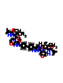 CC(C)[C@@H](NC(=O)C1CC1)C(=O)N1CCOC[C@H]1C(=O)Nc1ccc(-c2ccc(-c3cnc([C@@H]4COCCN4C(=O)[C@H](NC(=O)C4CC4)C(C)C)[nH]3)cc2)cc1